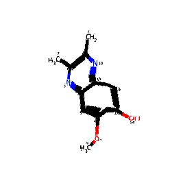 COc1cc2nc(C)c(C)nc2cc1O